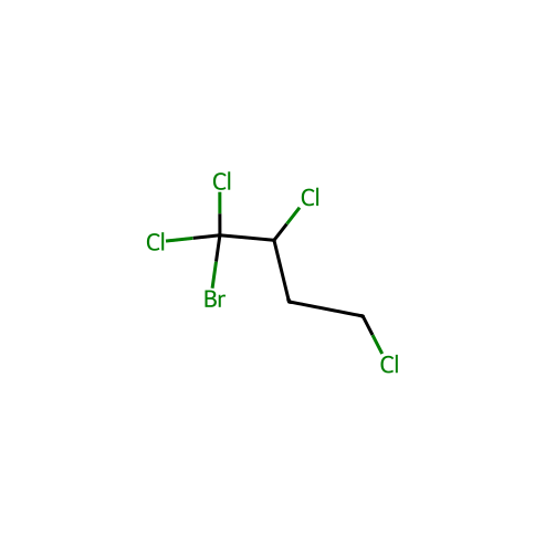 ClCCC(Cl)C(Cl)(Cl)Br